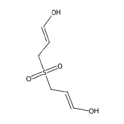 O=S(=O)(CC=CO)CC=CO